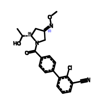 CO/N=C1\C[C@@H](C(C)O)N(C(=O)c2ccc(-c3cccc(C#N)c3Cl)cc2)C1